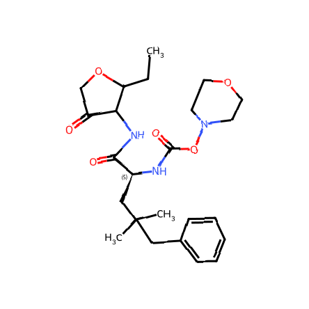 CCC1OCC(=O)C1NC(=O)[C@H](CC(C)(C)Cc1ccccc1)NC(=O)ON1CCOCC1